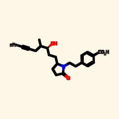 CCCC#CCC(C)[C@H](O)CCC1CCC(=O)N1CCc1ccc(C(=O)O)cc1